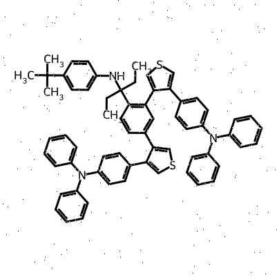 CCC(CC)(Nc1ccc(C(C)(C)C)cc1)c1ccc(-c2cscc2-c2ccc(N(c3ccccc3)c3ccccc3)cc2)cc1-c1cscc1-c1ccc(N(c2ccccc2)c2ccccc2)cc1